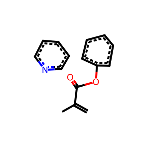 C=C(C)C(=O)Oc1ccccc1.c1ccncc1